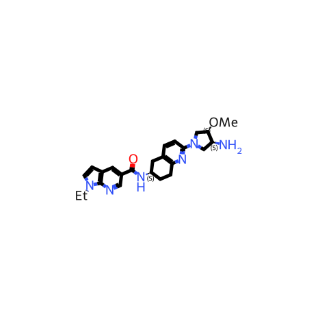 CCn1ccc2cc(C(=O)N[C@H]3CCc4nc(N5C[C@H](OC)[C@@H](N)C5)ccc4C3)cnc21